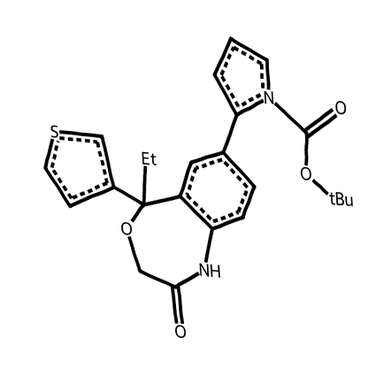 CCC1(c2ccsc2)OCC(=O)Nc2ccc(-c3cccn3C(=O)OC(C)(C)C)cc21